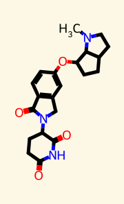 CN1CCC2CCC(Oc3ccc4c(c3)CN(C3CCC(=O)NC3=O)C4=O)C21